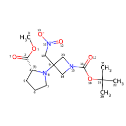 COC(=O)[C@H]1CCCN1C1(C[N+](=O)[O-])CN(C(=O)OC(C)(C)C)C1